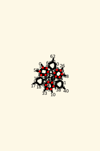 Cc1ccc([PH](c2ccc(C)cc2)(c2ccc(C)cc2)[Pd]([PH](c2ccc(C)cc2)(c2ccc(C)cc2)c2ccc(C)cc2)[PH](c2ccc(C)cc2)(c2ccc(C)cc2)c2ccc(C)cc2)cc1